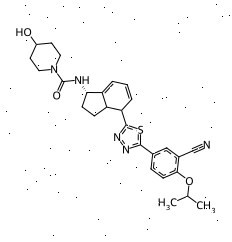 CC(C)Oc1ccc(-c2nnc(C3C=CC=C4C3CC[C@@H]4NC(=O)N3CCC(O)CC3)s2)cc1C#N